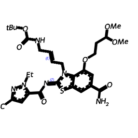 CCn1nc(C)cc1C(=O)/N=c1\sc2cc(C(N)=O)cc(OCCC(OC)OC)c2n1C/C=C/CNC(=O)OC(C)(C)C